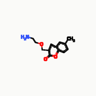 Cc1ccc2oc(=O)c(COCCN)cc2c1